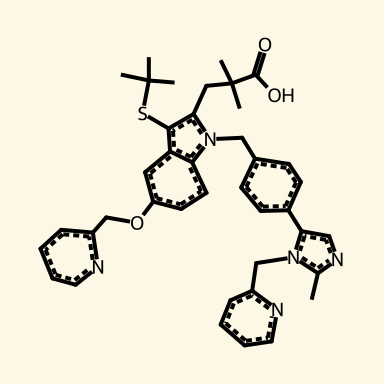 Cc1ncc(-c2ccc(Cn3c(CC(C)(C)C(=O)O)c(SC(C)(C)C)c4cc(OCc5ccccn5)ccc43)cc2)n1Cc1ccccn1